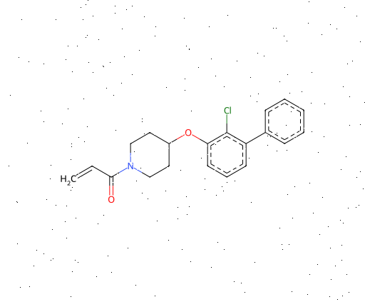 C=CC(=O)N1CCC(Oc2cccc(-c3ccccc3)c2Cl)CC1